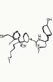 CNCC(CC1CCC(O)CC1)NC(=O)N1CCCC([C@@](O)(CCCCOC)c2cccc(Cl)c2F)C1